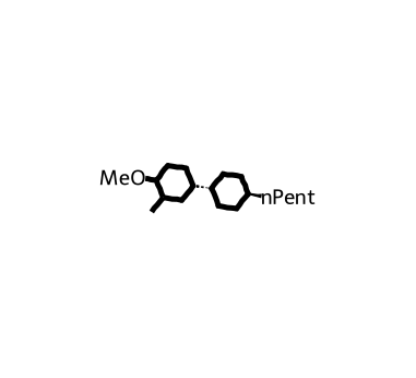 CCCCC[C@H]1CC[C@H](C2CCC(OC)C(C)C2)CC1